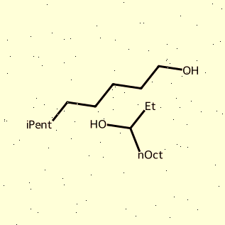 CCCC(C)CCCCCO.CCCCCCCCC(O)CC